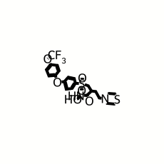 O=C(NO)C(CCN1CCSCC1)CS(=O)(=O)c1ccc(Oc2ccc(OC(F)(F)F)cc2)cc1